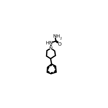 NC(=O)NN1CCC(c2ccccc2)CC1